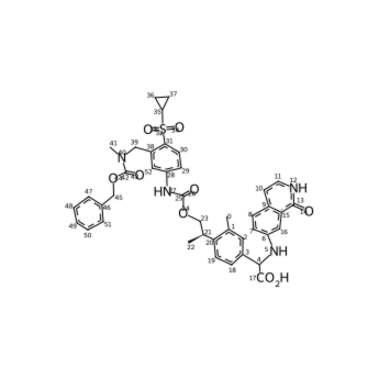 Cc1cc(C(Nc2ccc3cc[nH]c(=O)c3c2)C(=O)O)ccc1[C@@H](C)COC(=O)Nc1ccc(S(=O)(=O)C2CC2)c(CN(C)C(=O)OCc2ccccc2)c1